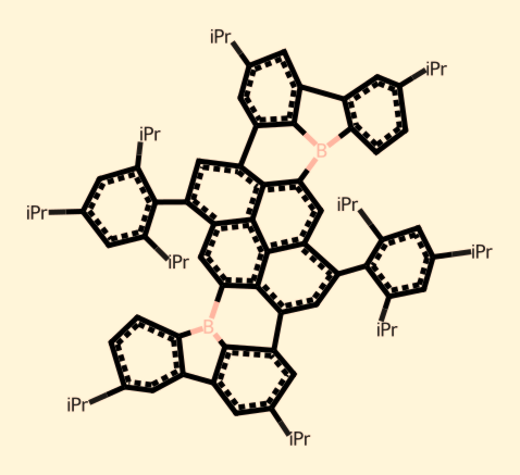 CC(C)c1ccc2c(c1)-c1cc(C(C)C)cc3c1B2c1cc2c(-c4c(C(C)C)cc(C(C)C)cc4C(C)C)cc4c5c(cc6c(-c7c(C(C)C)cc(C(C)C)cc7C(C)C)cc-3c1c6c25)B1c2ccc(C(C)C)cc2-c2cc(C(C)C)cc-4c21